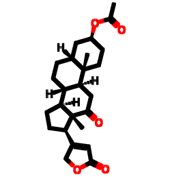 CC(=O)O[C@H]1CC[C@@]2(C)[C@H](CC[C@@H]3[C@@H]2CC(=O)[C@]2(C)[C@@H](C4=CC(=O)OC4)CC[C@@H]32)C1